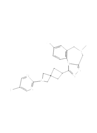 CN1Cc2cc(Cl)ccc2-n2c(nnc2C2CC3(C2)CN(c2ncc(F)cn2)C3)C1